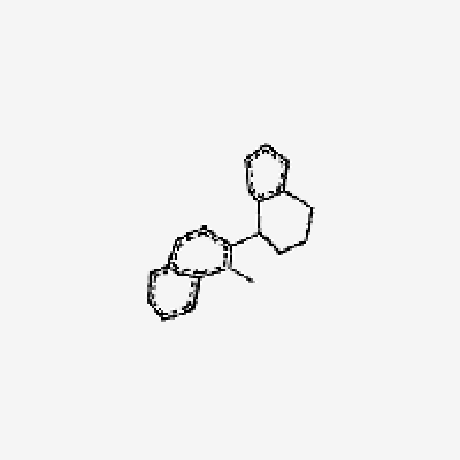 [CH2]c1c(C2CCCc3ccccc32)ccc2ccccc12